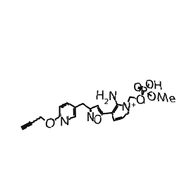 C#CCOc1ccc(Cc2cc(-c3ccc[n+](COP(=O)(O)OC)c3N)on2)cn1